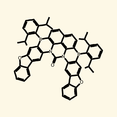 CC(C)c1cccc(C(C)C)c1B1c2cc3oc4ccccc4c3cc2N2C(=O)N3c4cc5c(cc4B(c4c(C(C)C)cccc4C(C)C)c4ccc6ccc1c2c6c43)oc1ccccc15